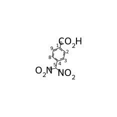 O=C(O)c1ccc(C([N+](=O)[O-])[N+](=O)[O-])cc1